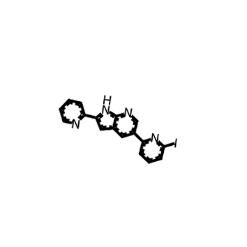 Ic1cccc(-c2cnc3[nH]c(-c4ccccn4)cc3c2)n1